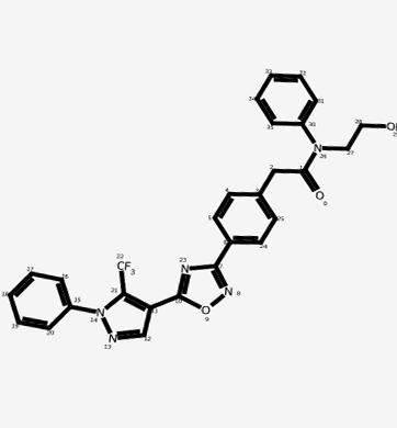 O=C(Cc1ccc(-c2noc(-c3cnn(-c4ccccc4)c3C(F)(F)F)n2)cc1)N(CCO)c1ccccc1